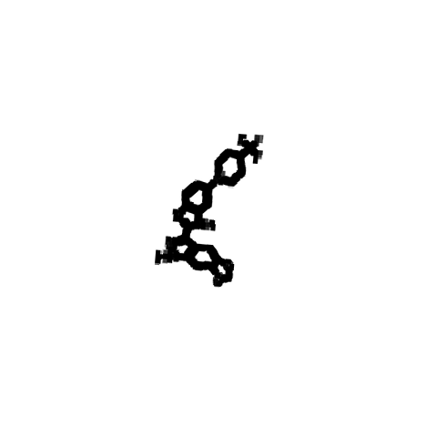 FC(F)(F)C1CCN(c2ccc3nc(-c4n[nH]c5cc6c(cc45)OCO6)[nH]c3c2)CC1